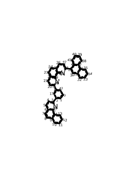 c1cc(-c2ccc3ccc4ccccc4c3n2)cc(-c2ccc3ccc4ccc(-c5cc6ccccc6c6ccccc56)nc4c3n2)c1